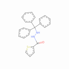 O=C(NNC(c1ccccc1)(c1ccccc1)c1ccccc1)c1cccs1